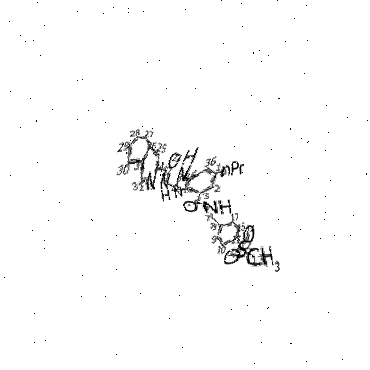 CCCc1cc(C(=O)NCc2ccc(S(C)(=O)=O)cc2)c2nc(NC(=O)c3cc4ccccc4cn3)[nH]c2c1